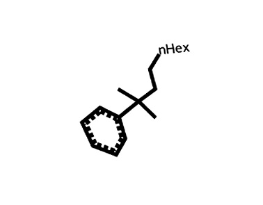 CCCCCCCCC(C)(C)c1ccccc1